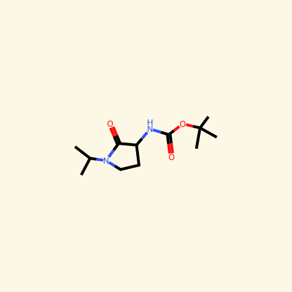 CC(C)N1CCC(NC(=O)OC(C)(C)C)C1=O